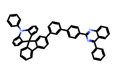 c1ccc(-c2nc(-c3ccc(-c4cccc(-c5ccc6c(c5)C5(c7ccccc7-6)c6ccccc6N(c6ccccc6)c6ccccc65)c4)cc3)nc3ccccc23)cc1